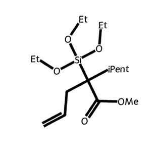 C=CCC(C(=O)OC)(C(C)CCC)[Si](OCC)(OCC)OCC